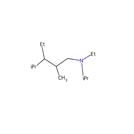 CCC(C(C)C)C(C)CN(CC)C(C)C